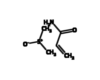 C=CC(N)=O.C[S+](C)[O-]